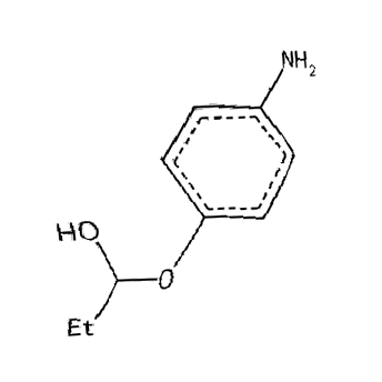 [CH2]CC(O)Oc1ccc(N)cc1